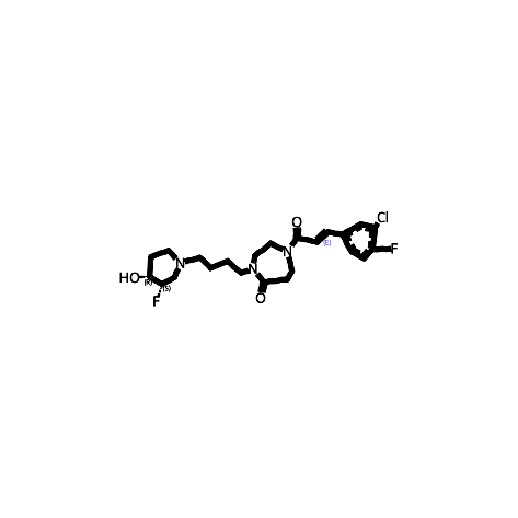 O=C(/C=C/c1ccc(F)c(Cl)c1)N1CCC(=O)N(CCCCN2CC[C@@H](O)[C@@H](F)C2)CC1